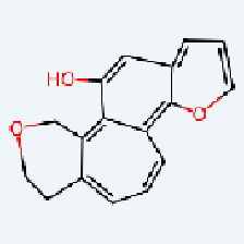 Oc1cc2c(c3c1=C1COCCC1=CC=C3)OC=CC=2